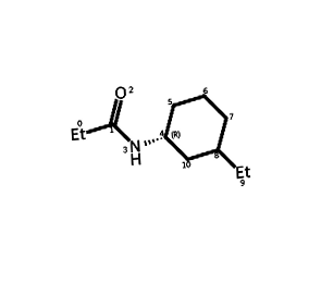 CCC(=O)N[C@@H]1CCCC(CC)C1